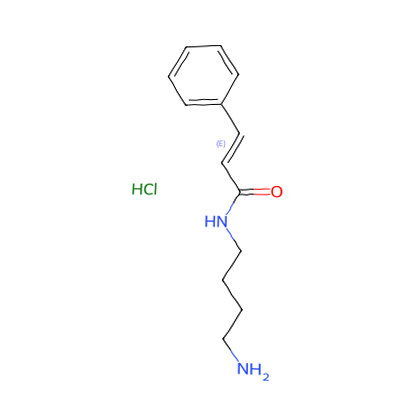 Cl.NCCCCNC(=O)/C=C/c1ccccc1